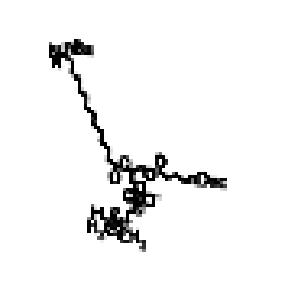 CCCCCCCCCCCCCC(=O)OCC(COP(=O)([O-])OCC[N+](C)(C)C)OC(=O)CCCCCCCCCCCCC1(CCCC)N=N1